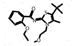 CCOc1ccccc1C(=O)N=c1sc(C(C)(C)C)c(C)n1CCOC